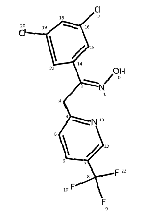 ON=C(Cc1ccc(C(F)(F)F)cn1)c1cc(Cl)cc(Cl)c1